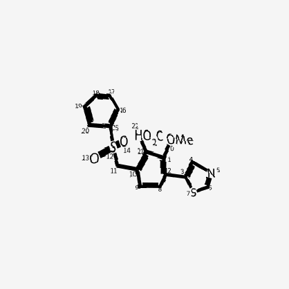 COc1c(-c2cncs2)ccc(CS(=O)(=O)c2ccccc2)c1C(=O)O